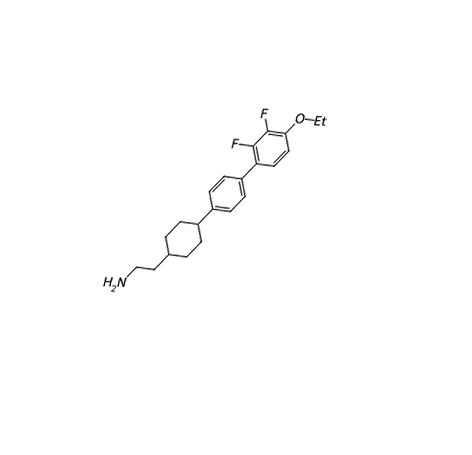 CCOc1ccc(-c2ccc(C3CCC(CCN)CC3)cc2)c(F)c1F